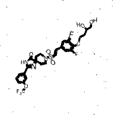 O=C1NC(c2cccc(OC(F)(F)F)c2)=NC12CCN(S(=O)(=O)C=Cc1cc(F)c(OCCC(O)CO)c(F)c1)CC2